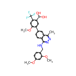 COc1ccc(CNc2nnc(C)c3cc(-c4cc(B(O)O)c(C(F)(F)F)cc4OC)ccc23)c(OC)c1